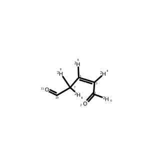 [2H]C(=O)C([2H])=C([2H])C([2H])([2H])C=O